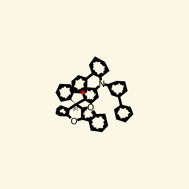 c1ccc(-c2cccc(N(c3ccc4c(c3)-c3ccccc3[C@]43c4ccccc4Oc4c3oc3ccccc43)c3ccccc3-c3ccccc3)c2)cc1